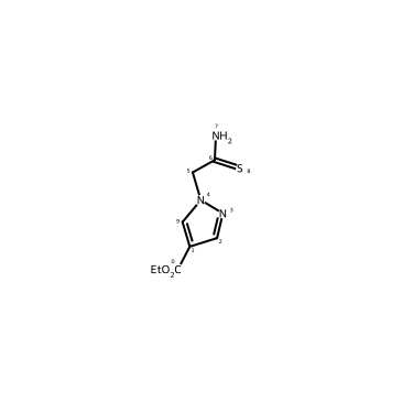 CCOC(=O)c1cnn(CC(N)=S)c1